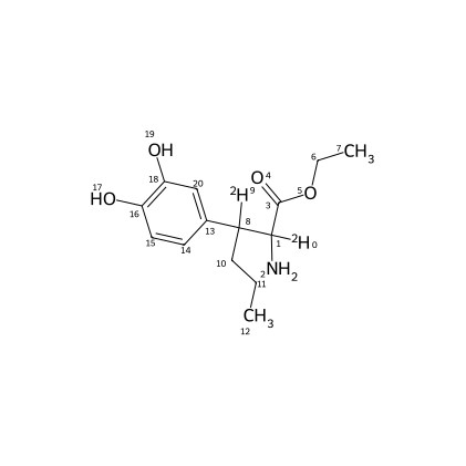 [2H]C(N)(C(=O)OCC)C([2H])(CCC)c1ccc(O)c(O)c1